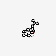 c1cc2c3ccc(-n4c5ccccc5c5cc(-n6c7ccccc7c7ccccc76)ccc54)cc3n(-c3c(-c4ccccc4)ccc4oc5ccccc5c34)c2cc#1